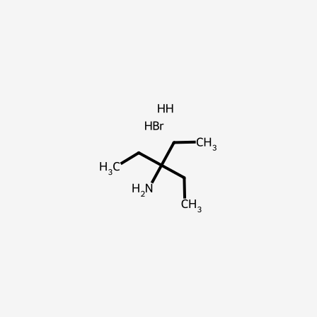 Br.CCC(N)(CC)CC.[HH]